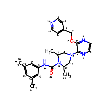 CC1CN(c2nccnc2OCc2ccncc2)CC(C)N1C(=O)Nc1cc(C(F)(F)F)cc(C(F)(F)F)c1